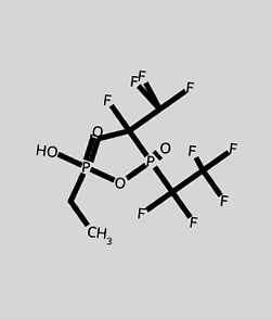 CCP(=O)(O)OP(=O)(C(F)(F)C(F)(F)F)C(F)(F)C(F)(F)F